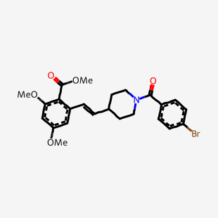 COC(=O)c1c(C=CC2CCN(C(=O)c3ccc(Br)cc3)CC2)cc(OC)cc1OC